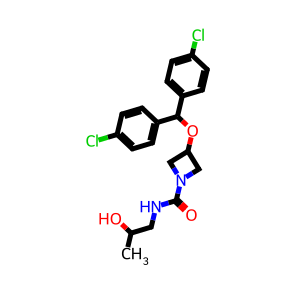 CC(O)CNC(=O)N1CC(OC(c2ccc(Cl)cc2)c2ccc(Cl)cc2)C1